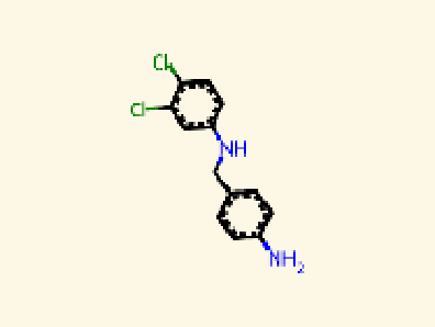 Nc1ccc(CNc2ccc(Cl)c(Cl)c2)cc1